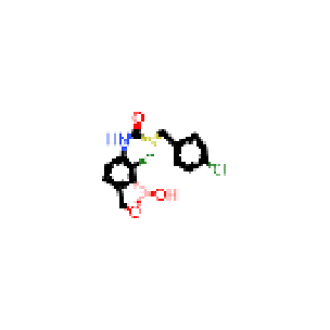 O=C(Nc1ccc2c(c1Cl)B(O)OC2)SCc1ccc(Cl)cc1